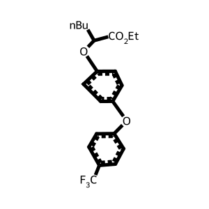 CCCCC(Oc1ccc(Oc2ccc(C(F)(F)F)cc2)cc1)C(=O)OCC